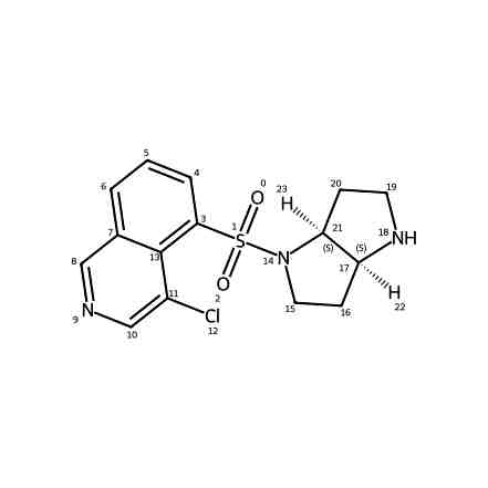 O=S(=O)(c1cccc2cncc(Cl)c12)N1CC[C@@H]2NCC[C@@H]21